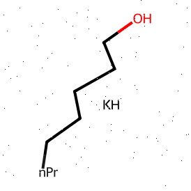 CCCCCCCCO.[KH]